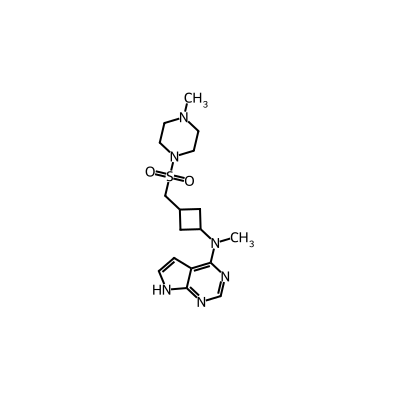 CN1CCN(S(=O)(=O)CC2CC(N(C)c3ncnc4[nH]ccc34)C2)CC1